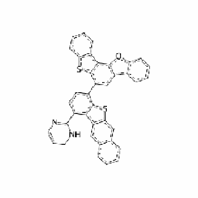 C1=CN=C(c2ccc(-c3cc4c5ccccc5oc4c4c3sc3ccccc34)c3sc4cc5ccccc5cc4c23)NC1